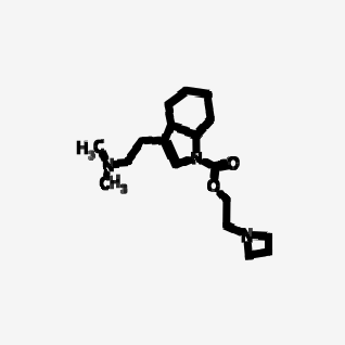 CN(C)CCC1=CN(C(=O)OCCN2CCC2)C2CCCCC12